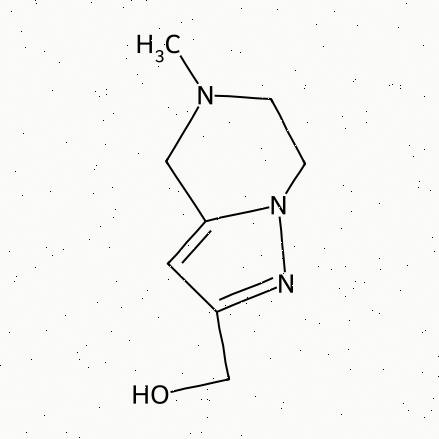 CN1CCn2nc(CO)cc2C1